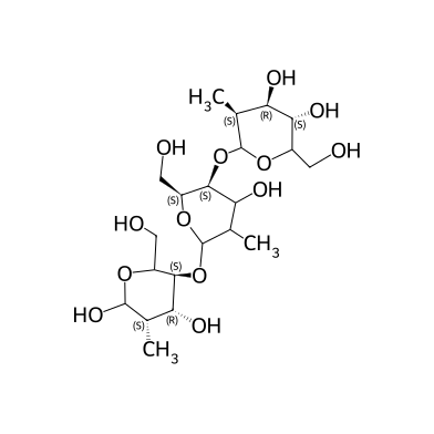 CC1C(O[C@@H]2C(CO)OC(O)[C@@H](C)[C@H]2O)O[C@@H](CO)[C@@H](OC2OC(CO)[C@@H](O)[C@H](O)[C@@H]2C)C1O